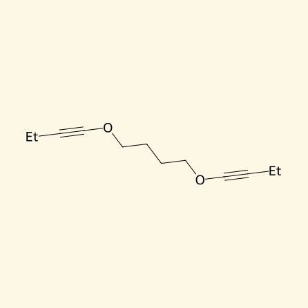 CCC#COCCCCOC#CCC